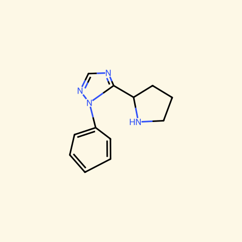 c1ccc(-n2ncnc2C2CCCN2)cc1